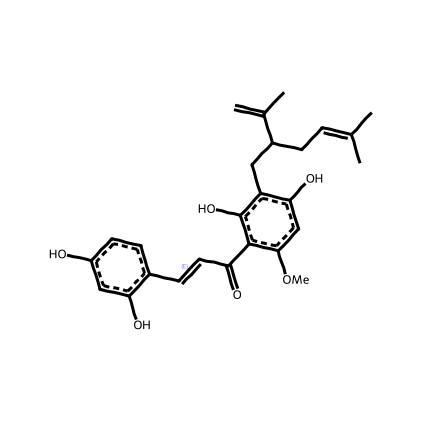 C=C(C)C(CC=C(C)C)Cc1c(O)cc(OC)c(C(=O)/C=C/c2ccc(O)cc2O)c1O